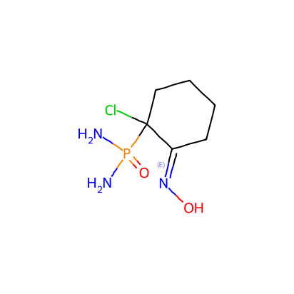 NP(N)(=O)C1(Cl)CCCC/C1=N\O